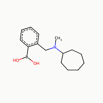 CN(Cc1ccccc1B(O)O)C1CCCCCC1